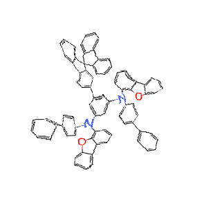 c1ccc(-c2ccc(N(c3cc(-c4ccc5c(c4)C4(c6ccccc6-c6ccccc64)c4ccccc4-5)cc(N(c4ccc(-c5ccccc5)cc4)c4cccc5c4oc4ccccc45)c3)c3cccc4c3oc3ccccc34)cc2)cc1